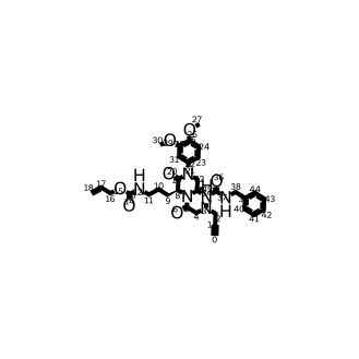 C#CCN1CC(=O)N2[C@@H](CCCNC(=O)OCC=C)C(=O)N(c3ccc(OC)c(OC)c3)C[C@@H]2N1C(=O)NCc1ccccc1